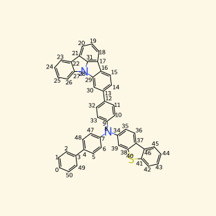 c1ccc(-c2ccc(N(c3ccc(-c4ccc5c6cccc7c8ccccc8n(c5c4)c76)cc3)c3ccc4c(c3)sc3ccccc34)cc2)cc1